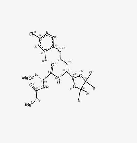 COC[C@@H](NC(=O)OC(C)(C)C)C(=O)N[C@H](CCOc1ccc(Cl)cc1F)B1OC(C)(C)C(C)(C)O1